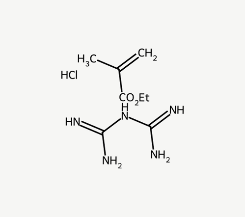 C=C(C)C(=O)OCC.Cl.N=C(N)NC(=N)N